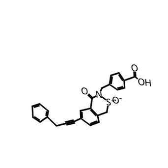 O=C(O)c1ccc(CN2C(=O)c3cc(C#CCc4ccccc4)ccc3C[S+]2[O-])cc1